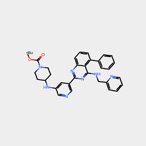 CC(C)(C)OC(=O)N1CCC(Nc2cncc(-c3nc(NCc4ccccn4)c4c(-c5ccccc5)cccc4n3)c2)CC1